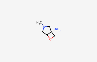 CN1CC2OC[C@]2(N)C1